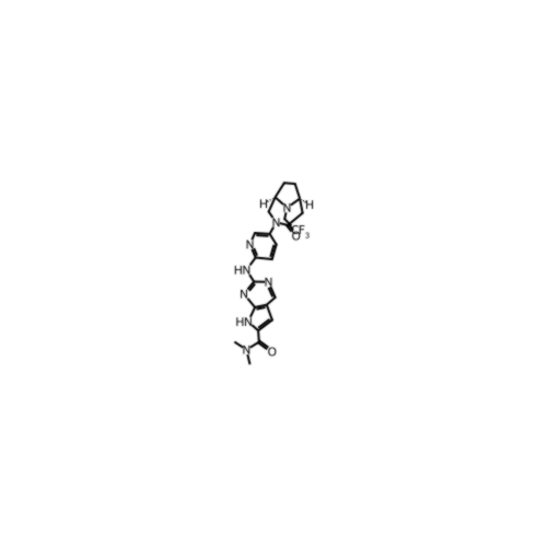 CN(C)C(=O)c1cc2cnc(Nc3ccc(N4C[C@H]5CC[C@@H](CC4=O)N5CC(F)(F)F)cn3)nc2[nH]1